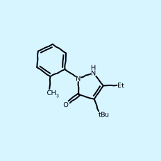 CCc1[nH]n(-c2ccccc2C)c(=O)c1C(C)(C)C